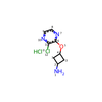 Cl.NC1CC(Oc2nccnc2Cl)C1